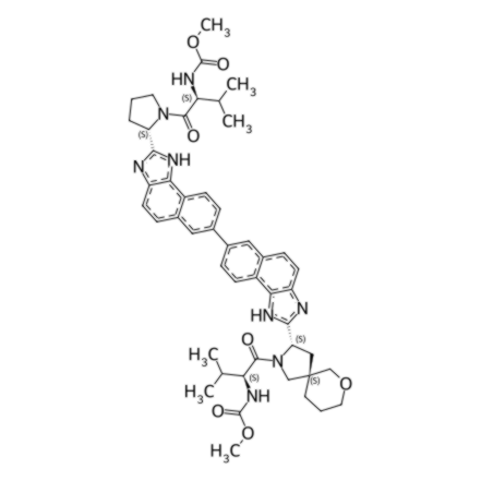 COC(=O)N[C@H](C(=O)N1CCC[C@H]1c1nc2ccc3cc(-c4ccc5c(ccc6nc([C@@H]7C[C@@]8(CCCOC8)CN7C(=O)[C@@H](NC(=O)OC)C(C)C)[nH]c65)c4)ccc3c2[nH]1)C(C)C